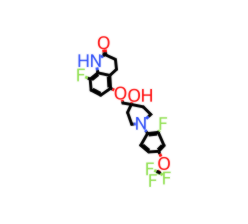 O=C1CCc2c(OCC3(O)CCN(c4ccc(OC(F)(F)F)cc4F)CC3)ccc(F)c2N1